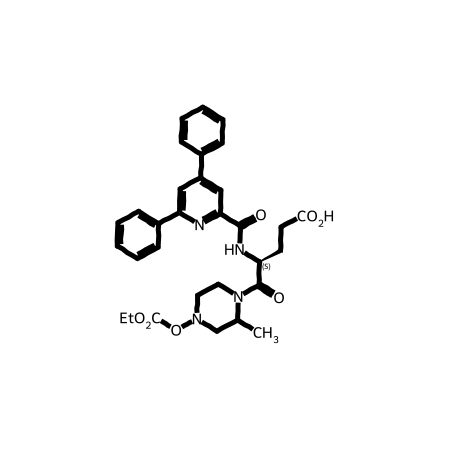 CCOC(=O)ON1CCN(C(=O)[C@H](CCC(=O)O)NC(=O)c2cc(-c3ccccc3)cc(-c3ccccc3)n2)C(C)C1